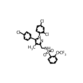 Cc1c(CNS(=O)(=O)c2ccccc2OC(F)(F)F)nn(-c2ccc(Cl)cc2Cl)c1-c1ccc(Cl)cc1